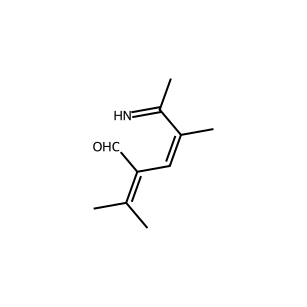 CC(=N)/C(C)=C\C(C=O)=C(C)C